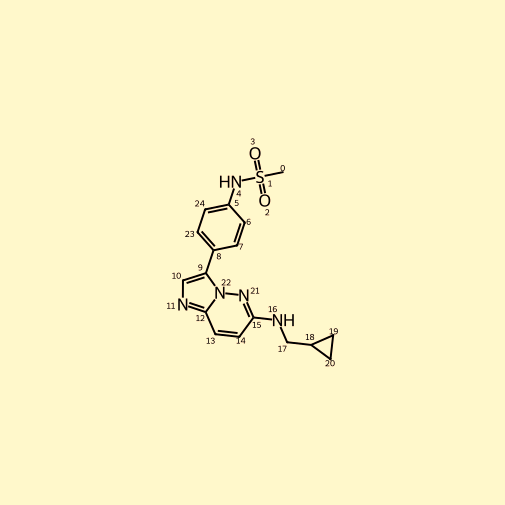 CS(=O)(=O)Nc1ccc(-c2cnc3ccc(NCC4CC4)nn23)cc1